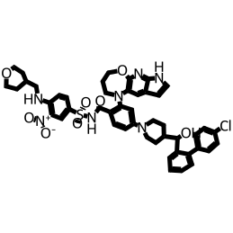 O=C(NS(=O)(=O)c1ccc(NCC2CCOCC2)c([N+](=O)[O-])c1)c1ccc(N2CCC(C(O)c3ccccc3-c3ccc(Cl)cc3)CC2)cc1N1CCCOc2nc3[nH]ccc3cc21